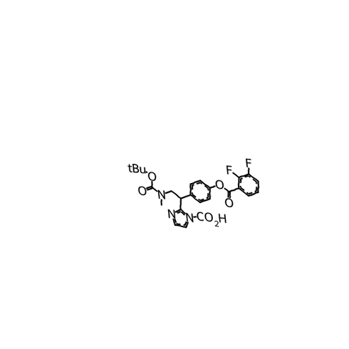 CN(CC(c1ccc(OC(=O)c2cccc(F)c2F)cc1)c1nccn1C(=O)O)C(=O)OC(C)(C)C